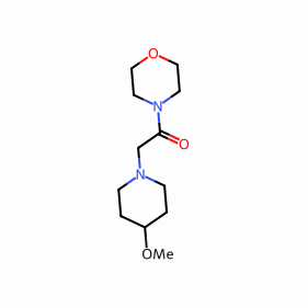 COC1CCN(CC(=O)N2CCOCC2)CC1